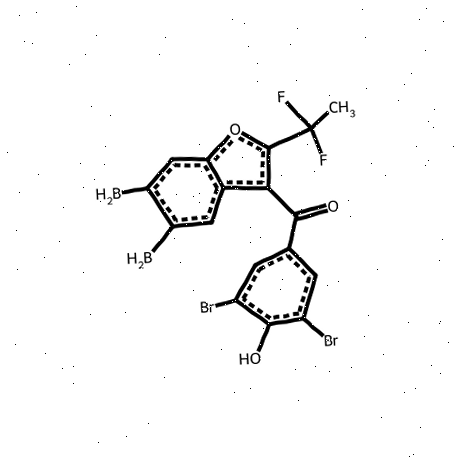 Bc1cc2oc(C(C)(F)F)c(C(=O)c3cc(Br)c(O)c(Br)c3)c2cc1B